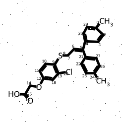 Cc1ccc(C(=CCSc2ccc(OCC(=O)O)cc2Cl)c2ccc(C)cc2)cc1